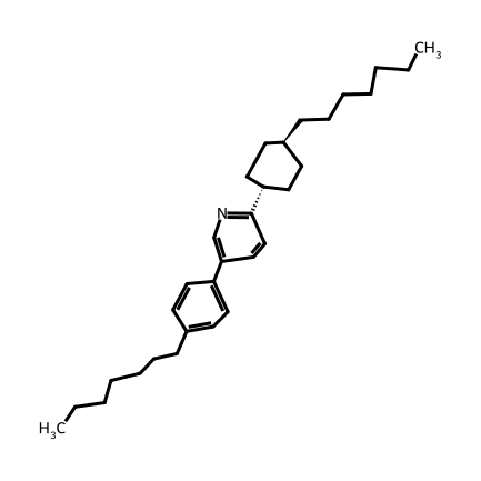 CCCCCCCc1ccc(-c2ccc([C@H]3CC[C@H](CCCCCCC)CC3)nc2)cc1